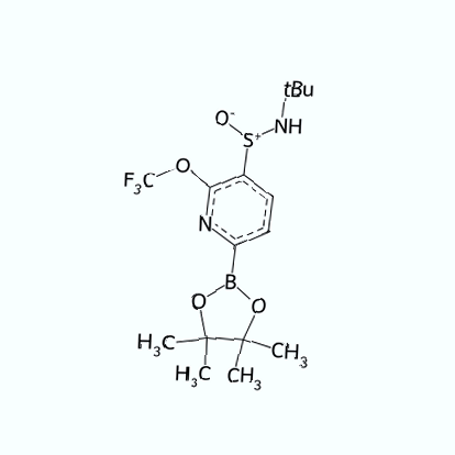 CC(C)(C)N[S+]([O-])c1ccc(B2OC(C)(C)C(C)(C)O2)nc1OC(F)(F)F